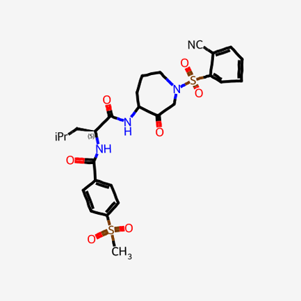 CC(C)C[C@H](NC(=O)c1ccc(S(C)(=O)=O)cc1)C(=O)NC1CCCN(S(=O)(=O)c2ccccc2C#N)CC1=O